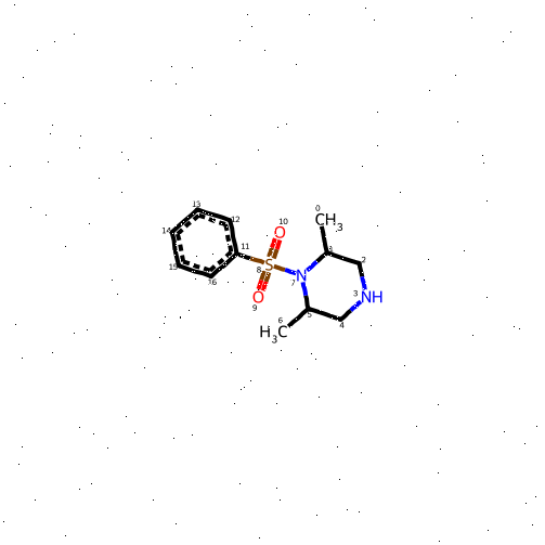 CC1CNCC(C)N1S(=O)(=O)c1ccccc1